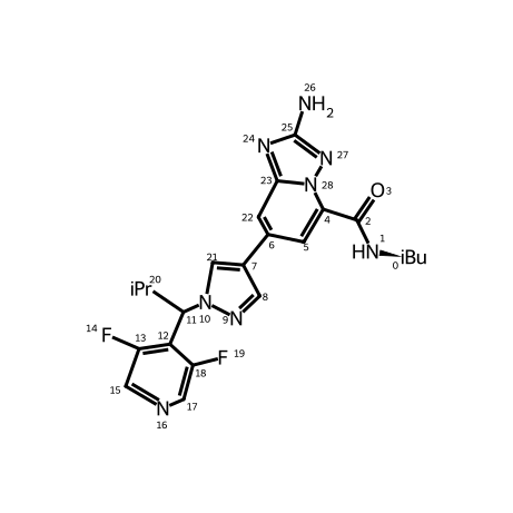 CC[C@H](C)NC(=O)c1cc(-c2cnn(C(c3c(F)cncc3F)C(C)C)c2)cc2nc(N)nn12